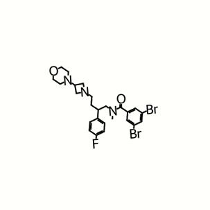 CN(CC(CCN1CC(N2CCOCC2)C1)c1ccc(F)cc1)C(=O)c1cc(Br)cc(Br)c1